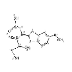 COc1ccc2c(c1)CC(N(CC(=O)O)C(=O)C(C)CS)C2